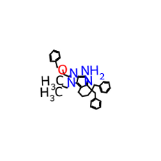 CC(C)Cn1c(COCc2ccccc2)nc2c(N)nc3c(c21)CCCC3(Cc1ccccc1)Cc1ccccc1